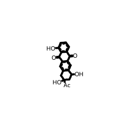 CC(=O)C1(O)Cc2cc3c(cc2C(O)C1)C(=O)c1cccc(O)c1C3=O